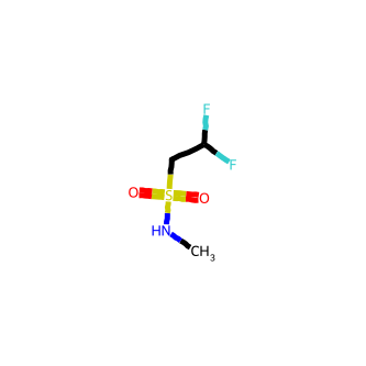 CNS(=O)(=O)CC(F)F